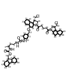 C[C@@H](CCCNC(=O)Nc1ccc(COc2cc3c(c4ccccc24)[C@H](CCl)CN3C(=O)CCCC(=O)N2C[C@@H](CCl)c3c2c[c]c2ccccc32)cc1)NC(=O)OCC1c2ccccc2-c2ccccc21